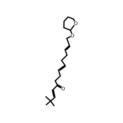 CC(C)(C)C=CC(=O)CCC=CCCC=CCOC1CCCCO1